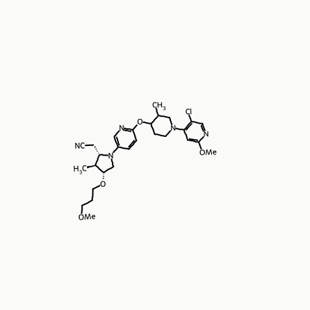 COCCCO[C@H]1CN(c2ccc(OC3CCN(c4cc(OC)ncc4Cl)CC3C)nc2)[C@@H](CC#N)[C@@H]1C